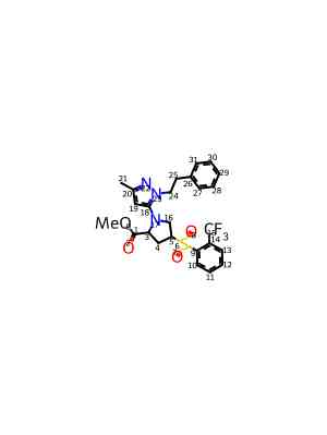 COC(=O)C1CC(S(=O)(=O)c2ccccc2C(F)(F)F)CN1c1cc(C)nn1CCc1ccccc1